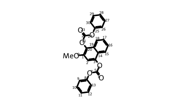 COc1cc(OC(=O)Oc2ccccc2)c2ccccc2c1OC(=O)Oc1ccccc1